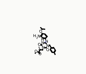 COC(=O)[C@@H](C)Cn1c(=O)[nH]/c(=N\c2ccc(OC(C)C)c(N)c2)n(Cc2ccc(C)cc2)c1=O